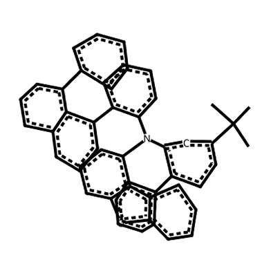 CC(C)(C)c1ccc(-c2ccccc2)c(N(c2ccccc2-c2cccc3cccc(-c4ccccc4)c23)c2cccc3oc4ccccc4c23)c1